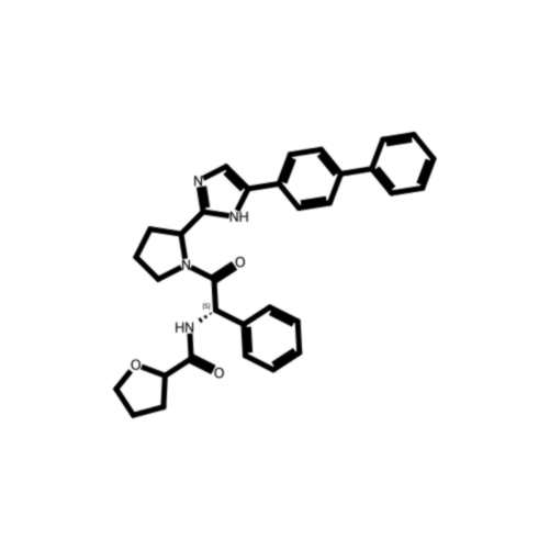 O=C(N[C@H](C(=O)N1CCCC1c1ncc(-c2ccc(-c3ccccc3)cc2)[nH]1)c1ccccc1)C1CCCO1